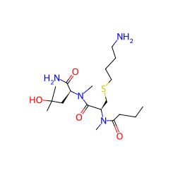 CCCC(=O)N(C)[C@H](CSCCCCN)C(=O)N(C)[C@@H](CC(C)(C)O)C(N)=O